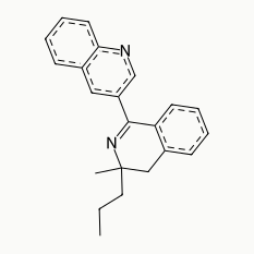 CCCC1(C)Cc2ccccc2C(c2cnc3ccccc3c2)=N1